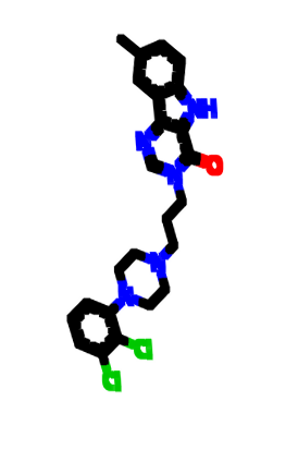 Cc1ccc2[nH]c3c(=O)n(CCCN4CCN(c5cccc(Cl)c5Cl)CC4)cnc3c2c1